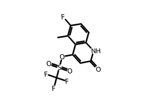 Cc1c(F)ccc2[nH]c(=O)cc(OS(=O)(=O)C(F)(F)F)c12